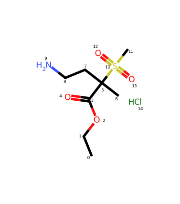 CCOC(=O)C(C)(CCN)S(C)(=O)=O.Cl